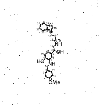 COc1ccc(CNc2cc(C(O)CNC(C)(C)CCn3cnc4ccccc43)ccc2O)cc1